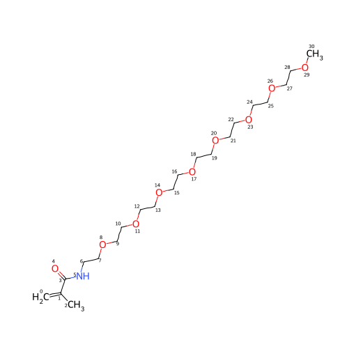 C=C(C)C(=O)NCCOCCOCCOCCOCCOCCOCCOCCOC